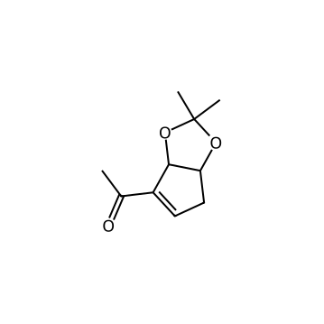 CC(=O)C1=CCC2OC(C)(C)OC12